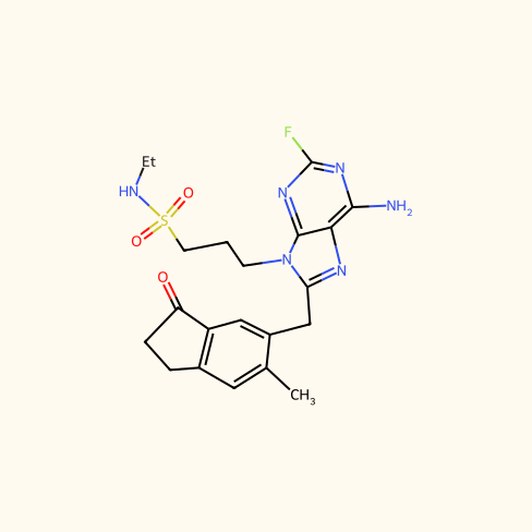 CCNS(=O)(=O)CCCn1c(Cc2cc3c(cc2C)CCC3=O)nc2c(N)nc(F)nc21